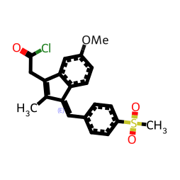 COc1ccc2c(c1)C(CC(=O)Cl)=C(C)/C2=C/c1ccc(S(C)(=O)=O)cc1